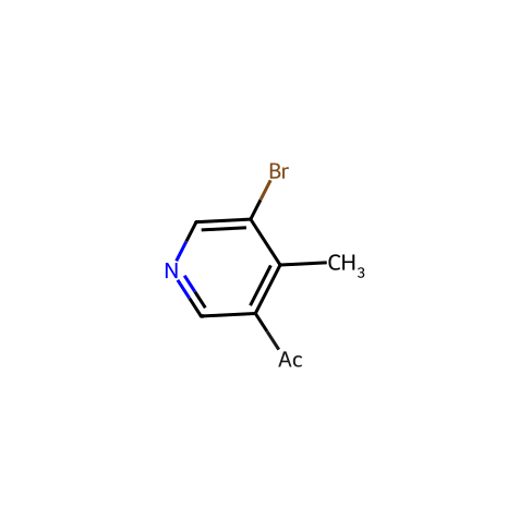 CC(=O)c1cncc(Br)c1C